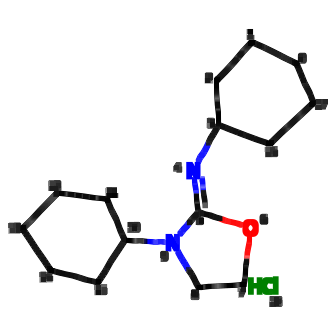 C1CCC(N=C2OCCN2C2CCCCC2)CC1.Cl